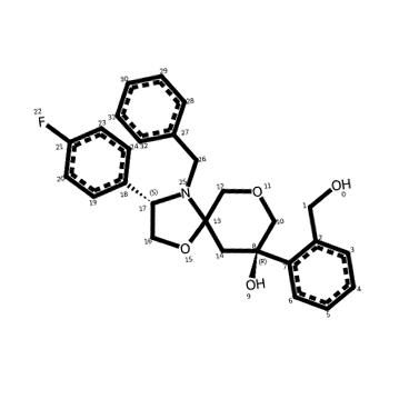 OCc1ccccc1[C@@]1(O)COCC2(C1)OC[C@H](c1ccc(F)cc1)N2Cc1ccccc1